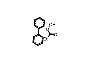 CCC(=O)OO.c1ccc(-c2ccccc2)cc1